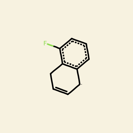 Fc1cccc2c1CC=C[CH]2